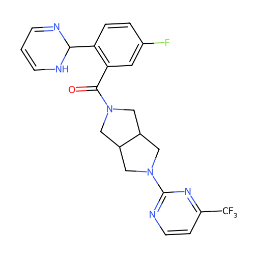 O=C(c1cc(F)ccc1C1N=CC=CN1)N1CC2CN(c3nccc(C(F)(F)F)n3)CC2C1